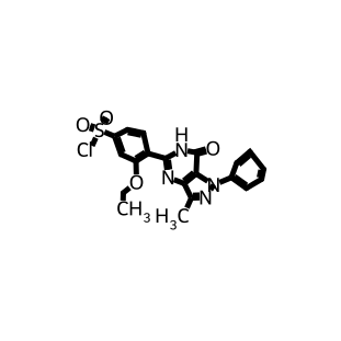 CCOc1cc(S(=O)(=O)Cl)ccc1-c1nc2c(C)nn(-c3ccccc3)c2c(=O)[nH]1